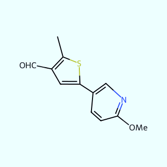 COc1ccc(-c2cc(C=O)c(C)s2)cn1